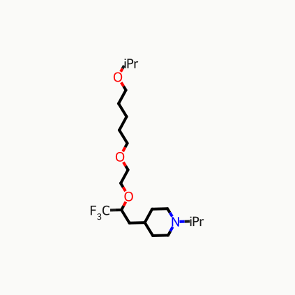 CC(C)OCCCCCOCCOC(CC1CCN(C(C)C)CC1)C(F)(F)F